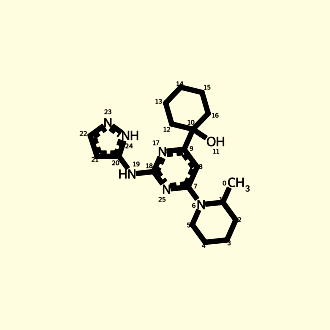 CC1CCCCN1c1cc(C2(O)CCCCC2)nc(Nc2ccn[nH]2)n1